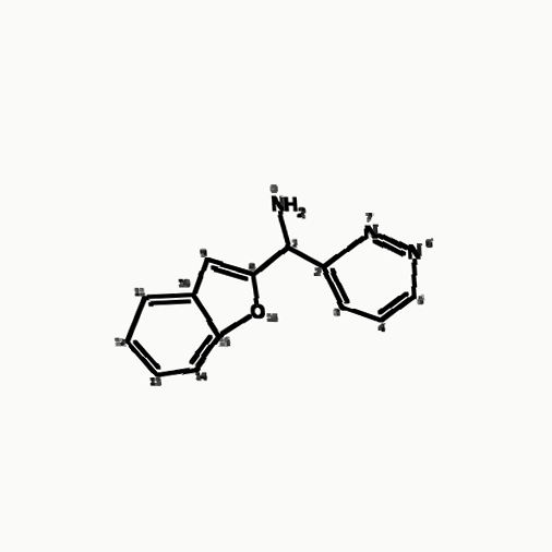 NC(c1cccnn1)c1cc2ccccc2o1